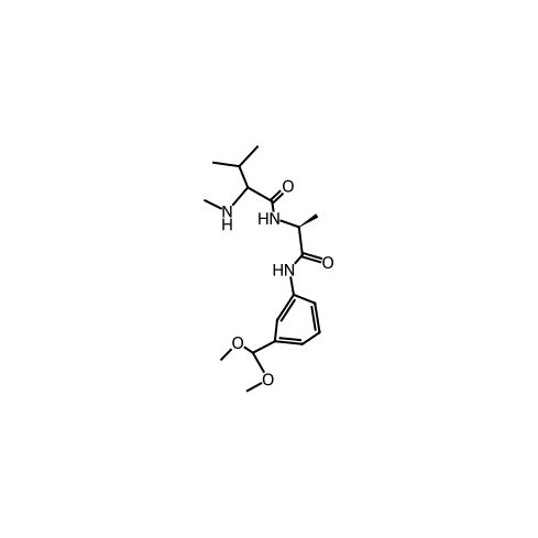 CNC(C(=O)N[C@@H](C)C(=O)Nc1cccc(C(OC)OC)c1)C(C)C